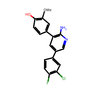 COc1cc(-c2cc(-c3ccc(F)c(Cl)c3)cnc2N)ccc1O